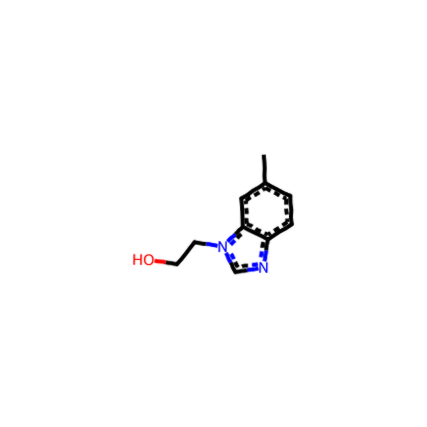 Cc1ccc2ncn(CCO)c2c1